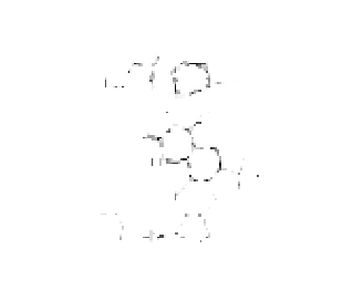 CCS(=O)(=O)c1ccc(Cl)cc1Cn1c(=O)[nH]c2c(Cl)c(CN3CC[C@@H](NCC(C)C)C3)c(C(F)(F)F)cc2c1=O